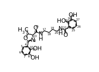 CC1OC(c2cccc(O)c2O)=NC1C(=O)NCCCCNC(=O)c1cccc(O)c1O